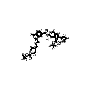 Cc1nn(CCCC2CCN(C(=O)OC(C)(C)C)CC2)c2cc(C(=O)Nc3cc4c(cn3)cc([C@H]3CCCN3C)n4C(=O)OC(C)(C)C)ccc12